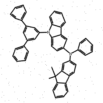 CC1(C)c2ccccc2-c2ccc(N(c3ccccc3)c3ccc4c(c3)c3ccccc3n4-c3cc(-c4ccccc4)cc(-c4ccccc4)c3)cc21